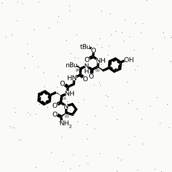 CCCC[C@@H](NC(=O)[C@H](Cc1ccc(O)cc1)NC(=O)OC(C)(C)C)C(=O)NCC(=O)N[C@@H](Cc1ccccc1)C(=O)N1CCC[C@H]1C(N)=O